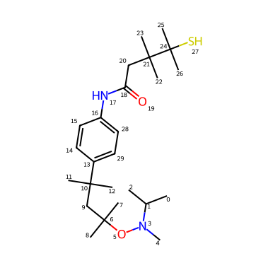 CC(C)N(C)OC(C)(C)CC(C)(C)c1ccc(NC(=O)CC(C)(C)C(C)(C)S)cc1